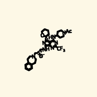 CC(=O)N1CCC(Nc2nc(C(F)(F)F)nc3c(NC[S@+]([O-])CN4CCc5ccccc5CC4)nn(C4CCCCO4)c23)CC1